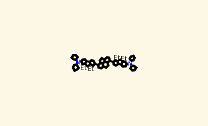 CCC1(CC)c2cc(-c3ccc4ccc5c(-c6ccc7c(c6)C(CC)(CC)c6cc(N(c8ccccc8)c8ccccc8)ccc6-7)ccc6ccc3c4c65)ccc2-c2ccc(N(c3ccccc3)c3ccccc3)cc21